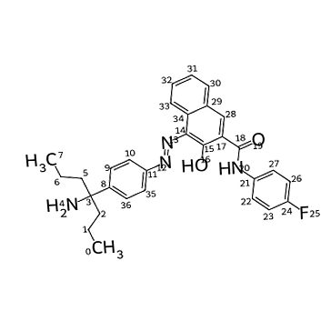 CCCC(N)(CCC)c1ccc(N=Nc2c(O)c(C(=O)Nc3ccc(F)cc3)cc3ccccc23)cc1